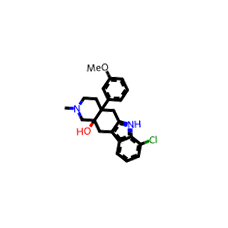 COc1cccc(C23CCN(C)CC2(O)Cc2c([nH]c4c(Cl)cccc24)C3)c1